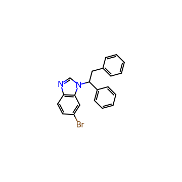 Brc1ccc2ncn(C(Cc3ccccc3)c3ccccc3)c2c1